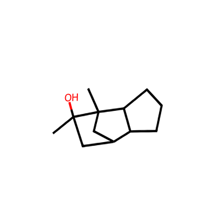 CC1(O)CC2CC1(C)C1CCCC21